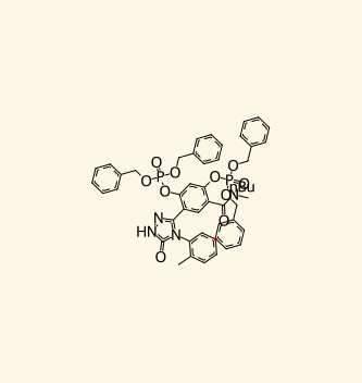 CCCCN(C)C(=O)c1cc(-c2n[nH]c(=O)n2-c2ccccc2C)c(OP(=O)(OCc2ccccc2)OCc2ccccc2)cc1OP(=O)(OCc1ccccc1)OCc1ccccc1